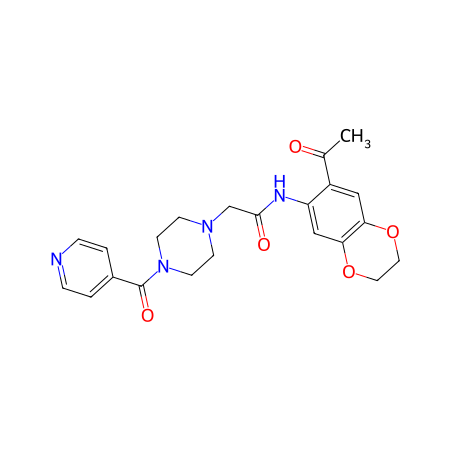 CC(=O)c1cc2c(cc1NC(=O)CN1CCN(C(=O)c3ccncc3)CC1)OCCO2